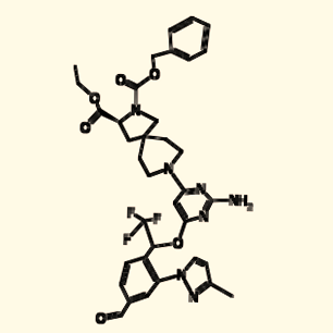 CCOC(=O)[C@@H]1CC2(CCN(c3cc(OC(c4ccc(C=O)cc4-n4ccc(C)n4)C(F)(F)F)nc(N)n3)CC2)CN1C(=O)OCc1ccccc1